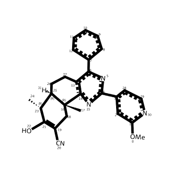 COc1cc(-c2nc(-c3ccccc3)c3c(n2)[C@]2(C)CC(C#N)=C(O)[C@H](C)[C@H]2CC3)ccn1